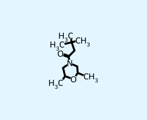 CC1CN(C(=O)CC(C)(C)C)CC(C)O1